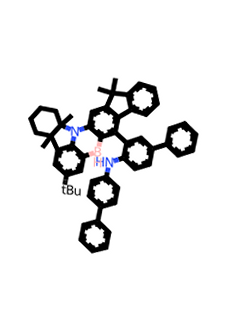 CC(C)(C)c1cc2c3c(c1)C1(C)CCCCC1(C)N3c1cc3c(c(-c4cc(-c5ccccc5)ccc4Nc4ccc(-c5ccccc5)cc4)c1B2)-c1ccccc1C3(C)C